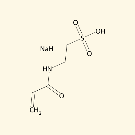 C=CC(=O)NCCS(=O)(=O)O.[NaH]